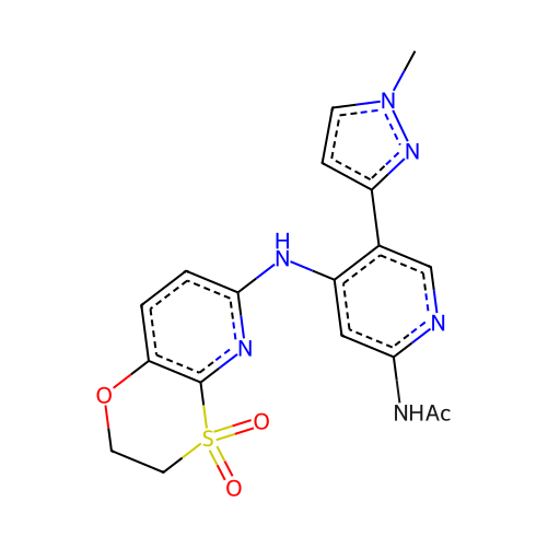 CC(=O)Nc1cc(Nc2ccc3c(n2)S(=O)(=O)CCO3)c(-c2ccn(C)n2)cn1